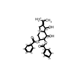 CC(C)=C1CN2CC(OC(=O)c3ccccc3)C(OC(=O)c3ccccc3)C(O)C2C1O